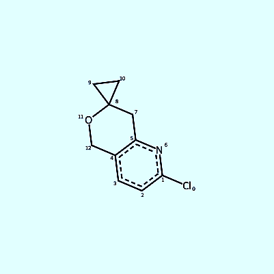 Clc1ccc2c(n1)CC1(CC1)OC2